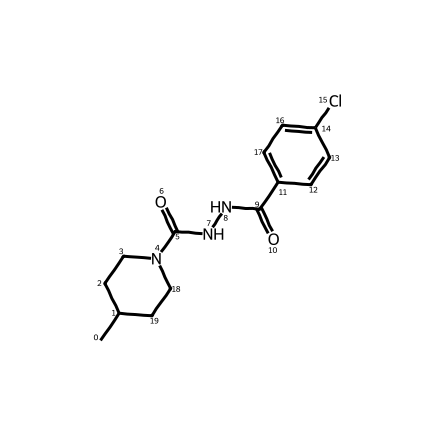 CC1CCN(C(=O)NNC(=O)c2ccc(Cl)cc2)CC1